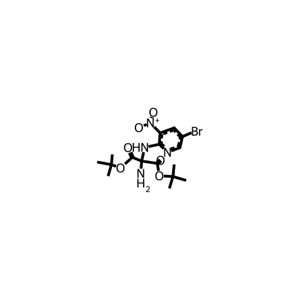 CC(C)(C)OC(=O)C(N)(Nc1ncc(Br)cc1[N+](=O)[O-])C(=O)OC(C)(C)C